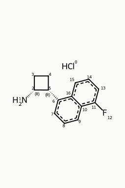 Cl.N[C@@H]1CC[C@@H]1c1cccc2c(F)cccc12